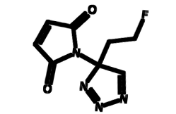 O=C1C=CC(=O)N1C1(CCF)C=NN=N1